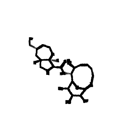 CC(C)C[C@@H]1CCO[C@@H]2[C@H](CN[C@@H]2C(=O)N[C@H]2C3OC(SCC/C=C\[C@@H]2C)C(O)C(O)C3O)C1